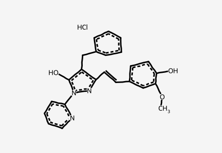 COc1cc(C=Cc2nn(-c3ccccn3)c(O)c2Cc2ccccc2)ccc1O.Cl